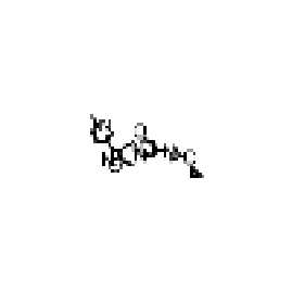 Cc1ccc(-c2noc(C)c2Cn2ncc(N3CC(OC4CC4)C3)cc2=O)cn1